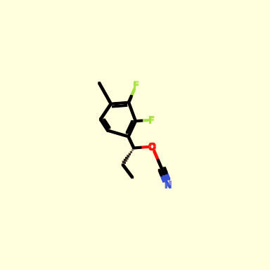 CC[C@@H](OC#N)c1ccc(C)c(F)c1F